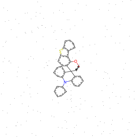 c1ccc(N2c3ccccc3C3(c4ccccc4Oc4c3ccc3sc5ccccc5c43)c3ccccc32)cc1